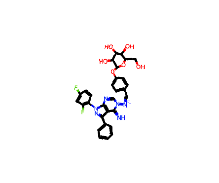 N=c1c2c(-c3ccccc3)nn(-c3ccc(F)cc3F)c2ncn1/N=C\c1ccc(OC2OC(CO)C(O)C(O)C2O)cc1